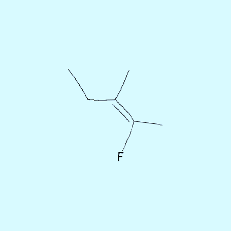 CC/C(C)=C(/C)F